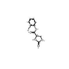 O=C1OCC(C(=O)Oc2ccccc2F)O1